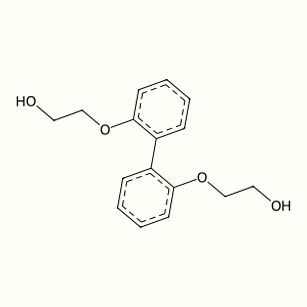 OCCOc1ccccc1-c1ccccc1OCCO